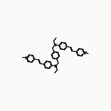 CCN(Cc1ccc(CN(CC)c2ccc(C=Cc3cc[n+](C)cc3)cc2)cc1)c1ccc(C=Cc2cc[n+](C)cc2)cc1